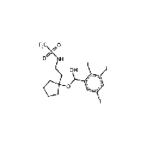 O=S(=O)(NCCC1(OC(O)c2cc(I)cc(I)c2I)CCCC1)C(F)(F)F